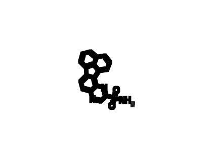 NS(=O)(=O)c1cnc2ccc3c(c2n1)-c1cccc2cccc-3c12